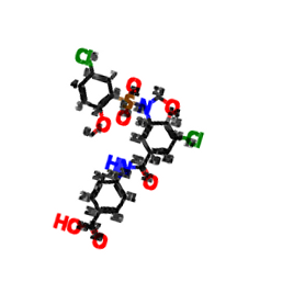 COc1ccc(Cl)cc1S(=O)(=O)N1COc2c(Cl)cc(C(=O)Nc3ccc(C(=O)O)cc3)cc21